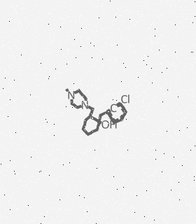 CN1CCN(CC2CCCCC2(O)Cc2cccc(Cl)c2)CC1